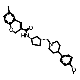 COc1ccc(C2CCN(C[C@@H]3CC[C@H](NC(=O)C4=Cc5cc(C)ccc5OC4)C3)CC2)cc1